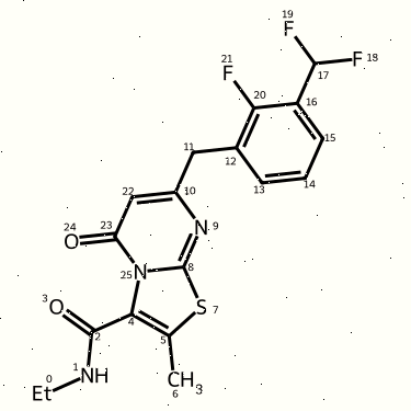 CCNC(=O)c1c(C)sc2nc(Cc3cccc(C(F)F)c3F)cc(=O)n12